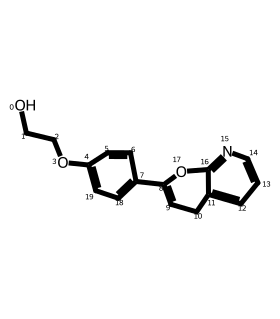 OCCOc1ccc(C2=CCc3cccnc3O2)cc1